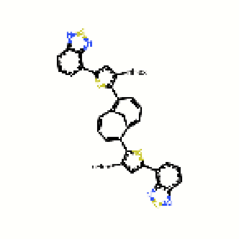 CCCCCCc1cc(-c2cccc3nsnc23)sc1C1=CC=CC2=C(c3sc(-c4cccc5nsnc45)cc3CCCCCC)C=CC=C1C2